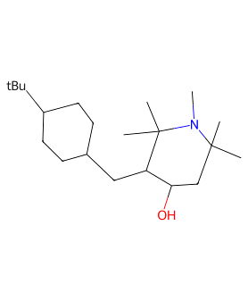 CN1C(C)(C)CC(O)C(CC2CCC(C(C)(C)C)CC2)C1(C)C